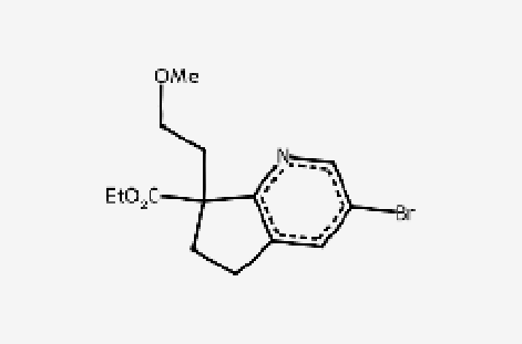 CCOC(=O)C1(CCOC)CCc2cc(Br)cnc21